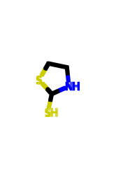 SC1NCCS1